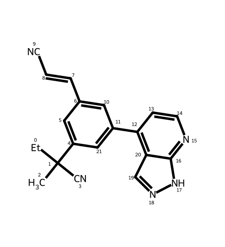 CCC(C)(C#N)c1cc(/C=C/C#N)cc(-c2ccnc3[nH]ncc23)c1